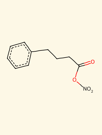 O=C(CCCc1ccccc1)O[N+](=O)[O-]